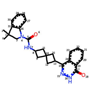 CC1(C)CN(C(=O)NC2CC3(C2)CC(c2n[nH]c(=O)c4ccccc24)C3)c2ccccc21